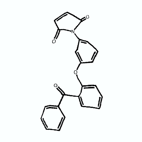 O=C(c1ccccc1)c1ccccc1Oc1cccc(N2C(=O)C=CC2=O)c1